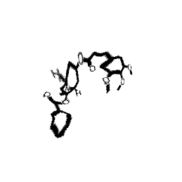 COc1cc(/C=C\C(=O)OC2C[C@H]3C[C@H](OC(=O)c4ccccc4)[C@@H](C2)N3C)cc(OC)c1OC